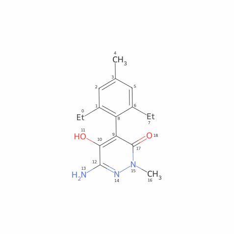 CCc1cc(C)cc(CC)c1-c1c(O)c(N)nn(C)c1=O